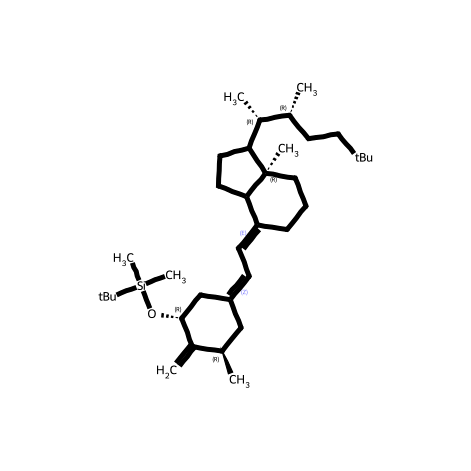 C=C1[C@H](C)C/C(=C/C=C2\CCC[C@@]3(C)C2CCC3[C@H](C)[C@H](C)CCC(C)(C)C)C[C@H]1O[Si](C)(C)C(C)(C)C